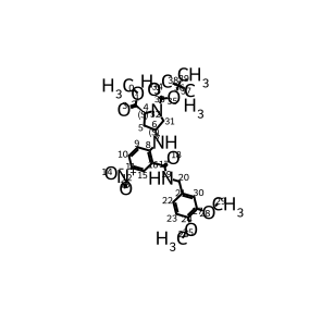 COC(=O)[C@@H]1C[C@H](Nc2ccc([N+](=O)[O-])cc2C(=O)NCc2ccc(OC)c(OC)c2)CN1C(=O)OC(C)(C)C